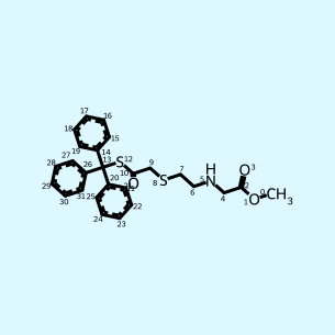 COC(=O)CNCCSCC(=O)SC(c1ccccc1)(c1ccccc1)c1ccccc1